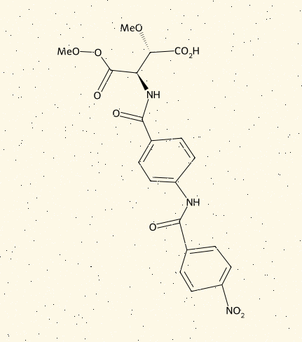 COOC(=O)[C@H](NC(=O)c1ccc(NC(=O)c2ccc([N+](=O)[O-])cc2)cc1)[C@H](OC)C(=O)O